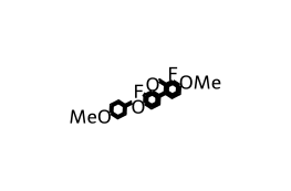 COc1ccc2c(c1F)COc1c-2ccc(OCC2CCC(OC)CC2)c1F